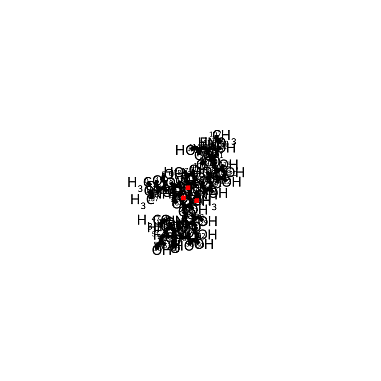 COC1OC(CO)C(OC2OC(COC3OC(CO)C(O)C(O)C3OC3OC(CO)C(OC4OC(COC5(OC=O)CC(O)C(NC(C)=O)C([C@H](F)C(O)CO)O5)C(O)C(O)C4O)C(O)C3NC(C)=O)C(O)C(OC3OC(CO)C(O)C(O)C3OC3OC(CO)C(OC4OC(COC5(OC=O)CC(O)C(NC(C)=O)C([C@H](F)C(O)CO)O5)C(O)C(O)C4O)C(O)C3NC(C)=O)C2O)C(O)C1NC(C)=O